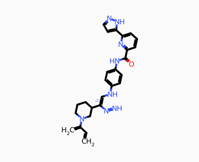 C=CC(=C)N1CCCC(/C(=C/Nc2ccc(NC(=O)c3cccc(-c4ccn[nH]4)n3)cc2)N=N)C1